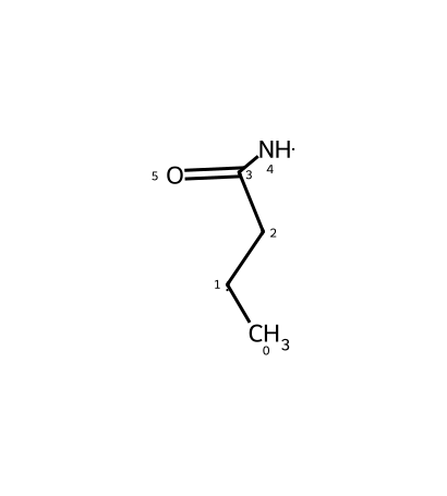 C[CH]CC([NH])=O